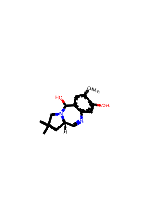 COc1cc2c(cc1O)N=C[C@@H]1CC(C)(C)CN1C2O